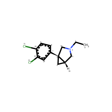 CCN1C[C@@H]2C[C@]2(c2ccc(Cl)c(Cl)c2)C1